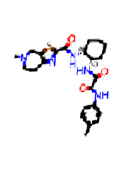 Cc1ccc(NC(=O)C(=O)N[C@H]2CCCC[C@H]2NC(=O)c2nc3c(s2)CN(C)CC3)cc1